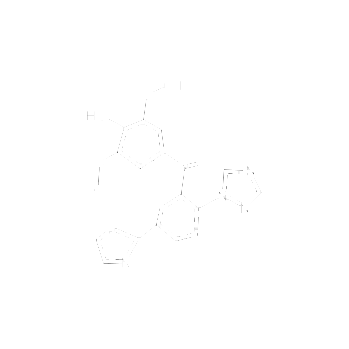 COc1cc(C(=O)c2cc(-c3nccs3)ccc2-n2cncn2)cc(OC)c1O